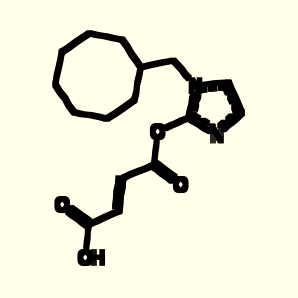 O=C(O)/C=C/C(=O)Oc1nccn1CC1CCCCCCC1